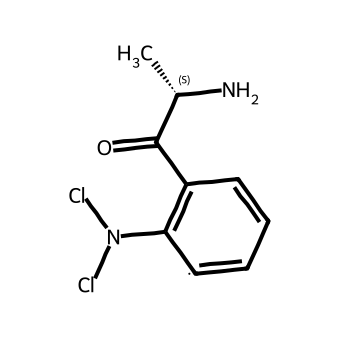 C[C@H](N)C(=O)c1ccc[c]c1N(Cl)Cl